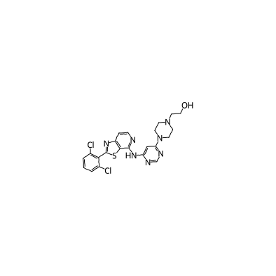 OCCN1CCN(c2cc(Nc3nccc4nc(-c5c(Cl)cccc5Cl)sc34)ncn2)CC1